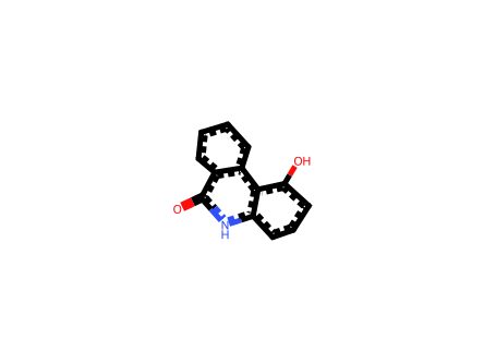 O=c1[nH]c2cccc(O)c2c2ccccc12